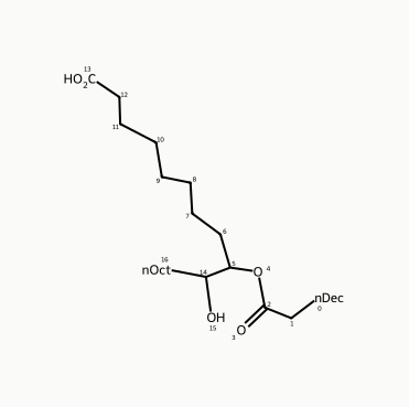 CCCCCCCCCCCC(=O)OC(CCCCCCCC(=O)O)C(O)CCCCCCCC